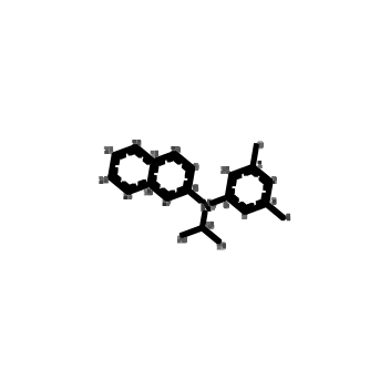 Cc1cc(C)cc(N(c2ccc3ccccc3c2)C(C)C)c1